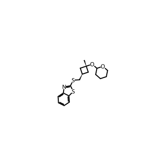 C[C@]1(OC2CCCCO2)C[C@H](CSc2nc3ccccc3s2)C1